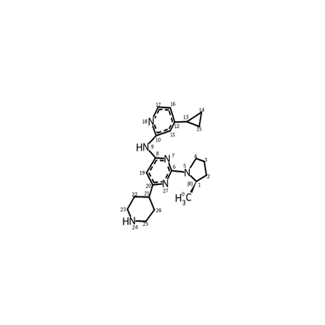 C[C@@H]1CCCN1c1nc(Nc2cc(C3CC3)ccn2)cc(C2CCNCC2)n1